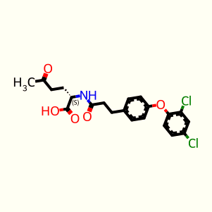 CC(=O)CC[C@H](NC(=O)CCc1ccc(Oc2ccc(Cl)cc2Cl)cc1)C(=O)O